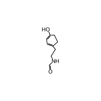 O=CNCCC1=CC=C(O)CC1